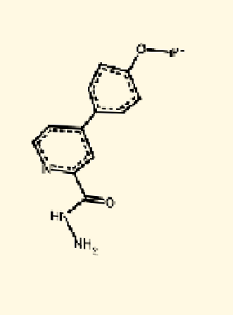 CC(C)Oc1ccc(-c2ccnc(C(=O)NN)c2)cc1